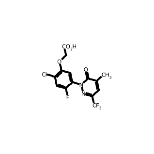 Cc1cc(C(F)(F)F)nn(-c2cc(OCC(=O)O)c(Cl)cc2F)c1=O